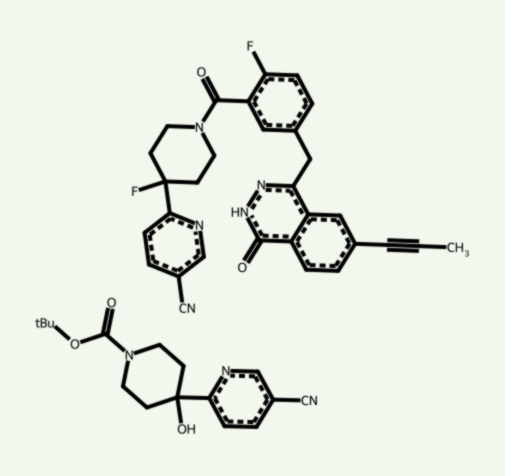 CC#Cc1ccc2c(=O)[nH]nc(Cc3ccc(F)c(C(=O)N4CCC(F)(c5ccc(C#N)cn5)CC4)c3)c2c1.CC(C)(C)OC(=O)N1CCC(O)(c2ccc(C#N)cn2)CC1